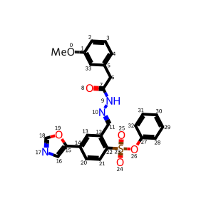 COc1cccc(CC(=O)N/N=C/c2cc(-c3cnco3)ccc2S(=O)(=O)Oc2ccccc2)c1